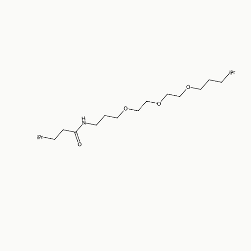 CC(C)CCCOCCOCCOCCCNC(=O)CCC(C)C